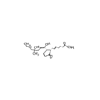 CCOCC(C)(C)C/C=C(/O)[C@H]1CCC(=O)[C@H]1CC=CCCCC(=O)O